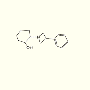 OC1CCCCC1N1CC(c2ccccc2)C1